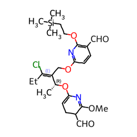 CC/C(Cl)=C(/COc1ccc(C=O)c(OCC[Si](C)(C)C)n1)[C@@H](C)OC1=CCC(C=O)C(OC)=N1